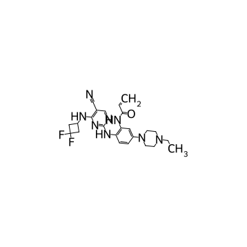 C=CC(=O)Nc1cc(N2CCN(CC)CC2)ccc1Nc1ncc(C#N)c(NC2CC(F)(F)C2)n1